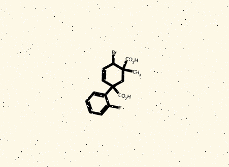 CC1(C(=O)O)CC(C(=O)O)(c2ccccc2F)C=CC1Br